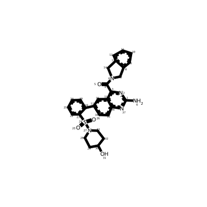 Nc1nc(C(=O)N2Cc3ccccc3C2)c2cc(-c3ccccc3S(=O)(=O)N3CCC(O)CC3)ccc2n1